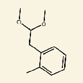 COC(Cc1ccccc1C)OC